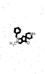 CN1CC2=C(CC3(CCNCC3)C2=O)N1Cc1ccccc1